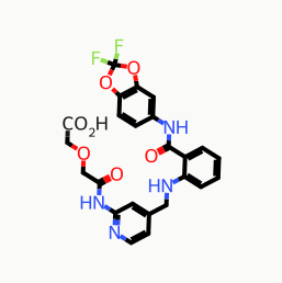 O=C(O)COCC(=O)Nc1cc(CNc2ccccc2C(=O)Nc2ccc3c(c2)OC(F)(F)O3)ccn1